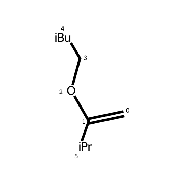 C=C(OCC(C)CC)C(C)C